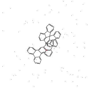 c1ccc(-c2ccccc2N(c2ccc3c4ccccc4c4ccccc4c3c2)c2cccc3c2C2(c4ccccc4-c4ccccc42)c2ccccc2-3)cc1